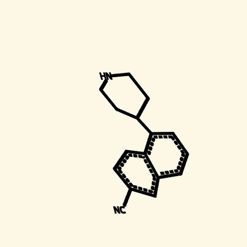 N#Cc1ccc2c(C3CCNCC3)cccc2c1